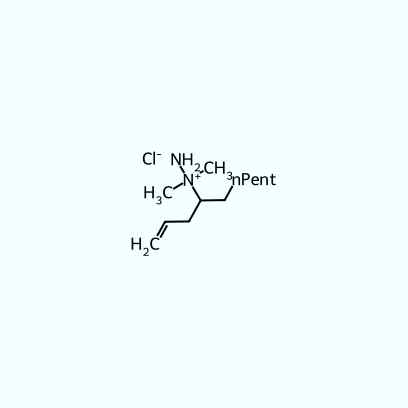 C=CCC(CCCCCC)[N+](C)(C)N.[Cl-]